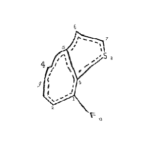 Fc1cc[c]c2ccsc12